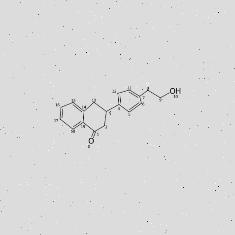 O=C1CC(c2ccc(CCO)cc2)Cc2ccccc21